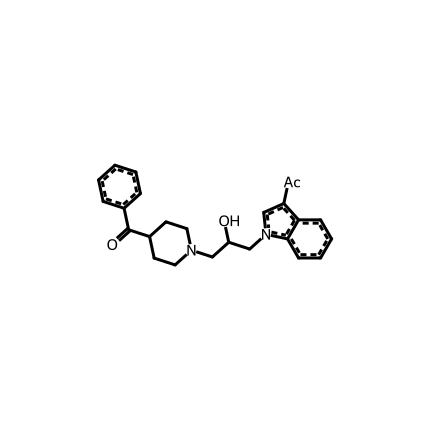 CC(=O)c1cn(CC(O)CN2CCC(C(=O)c3ccccc3)CC2)c2ccccc12